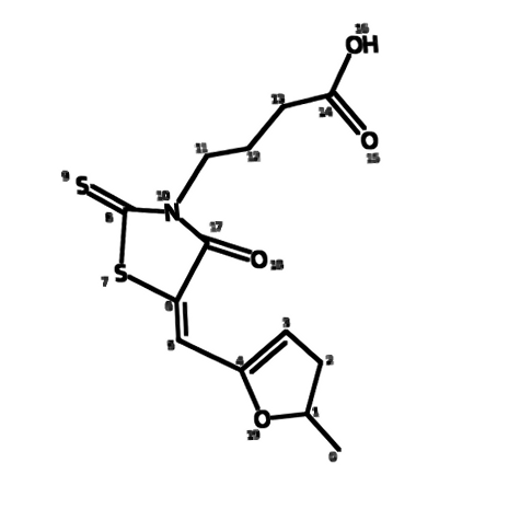 CC1CC=C(/C=C2/SC(=S)N(CCCC(=O)O)C2=O)O1